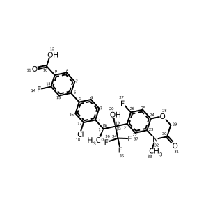 C[C@@H](c1ccc(-c2ccc(C(=O)O)c(F)c2)cc1Cl)[C@](O)(c1cc2c(cc1F)OCC(=O)N2C)C(F)(F)F